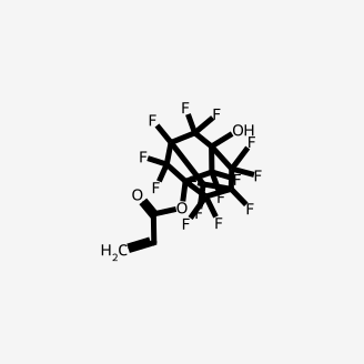 C=CC(=O)OC12C(F)(F)C3(O)C(F)(F)C(F)(C(F)(F)C(F)(C3(F)F)C1(F)F)C2(F)F